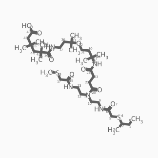 CCC(C)SCC(=O)NCCN(CCNC(=O)CSC)C(=O)CCC(=O)NC(C)(C)CCOC(C)(C)CCNC(=O)C(C)(C)CC(C)(C)CC(=O)O